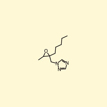 CCCCCC1(Cn2cncn2)OC1C